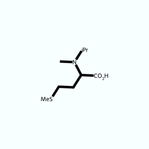 CSCCC(C(=O)O)N(C)C(C)C